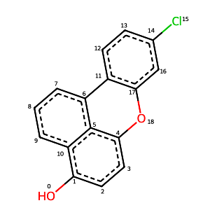 Oc1ccc2c3c(cccc13)-c1ccc(Cl)cc1O2